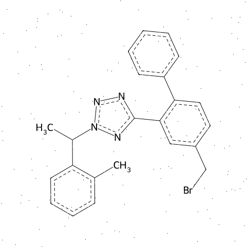 Cc1ccccc1C(C)n1nnc(-c2cc(CBr)ccc2-c2ccccc2)n1